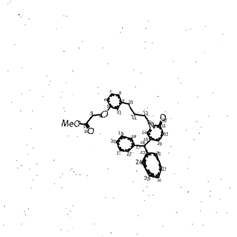 COC(=O)COc1cccc(CCCn2cc(C(c3ccccc3)c3ccccc3)ccc2=O)c1